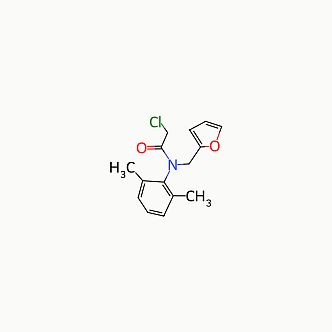 Cc1cccc(C)c1N(Cc1ccco1)C(=O)CCl